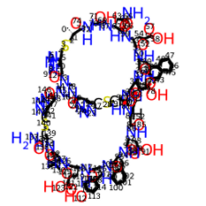 C[C@H]1CSCc2nnn(C)c2C(=O)N2CN3CN(C2)C(=O)c2c(nnn2C)CSC[C@H]2NC(=O)[C@H](NC(=O)[C@H](Cc4cccc5ccccc45)NC(=O)[C@H](CCC(=O)O)NC(=O)[C@H](CC(N)=O)NC(O)[C@@H](C)NC1=O)C(C(=O)O)C[C@H](NC2=O)C(=O)N[C@@H](CC(=O)O)C(=O)N[C@@H](Cc1ccccc1)C(=O)N[C@@H](Cc1ccc(O)cc1)C(=O)N[C@@H](CCC(=O)O)C(=O)N[C@@H](C(C)(C)C)C(=O)N[C@H](C(N)=O)CSCc1nnn(C)c1C3=O